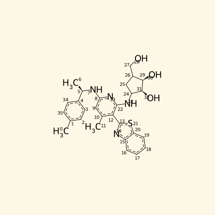 Cc1ccc([C@@H](C)Nc2cc(C)c(-c3nc4ccccc4s3)c(NC3CC(CO)[C@@H](O)[C@H]3O)n2)cc1